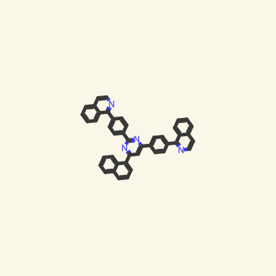 c1ccc2c(-c3cc(-c4ccc(-c5nccc6ccccc56)cc4)nc(-c4ccc(-c5nccc6ccccc56)cc4)n3)cccc2c1